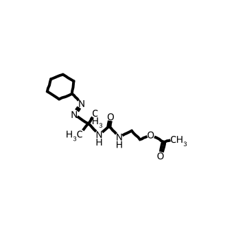 CC(=O)OCCNC(=O)NC(C)(C)/N=N/C1CCCCC1